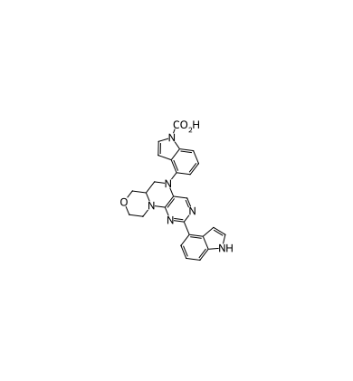 O=C(O)n1ccc2c(N3CC4COCCN4c4nc(-c5cccc6[nH]ccc56)ncc43)cccc21